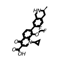 C[C@H]1Cc2ccc(-c3ccc4c(=O)c(C(=O)O)cn(C5CC5)c4c3OC(F)F)cc2CN1